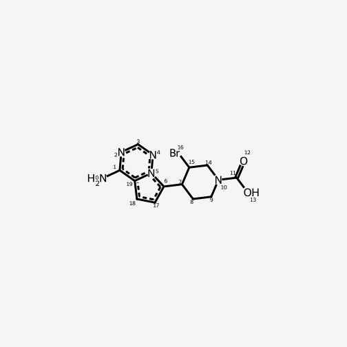 Nc1ncnn2c(C3CCN(C(=O)O)CC3Br)ccc12